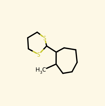 CC1CCCCC[C]1C1SCCCS1